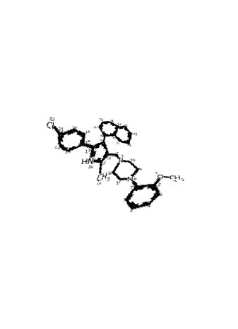 COc1ccccc1N1CCN(Cc2c(C)[nH]c(-c3ccc(Cl)cc3)c2-c2cccc3ccccc23)CC1